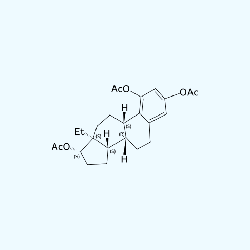 CC[C@]12CC[C@@H]3c4c(cc(OC(C)=O)cc4OC(C)=O)CC[C@@H]3[C@@H]1CC[C@@H]2OC(C)=O